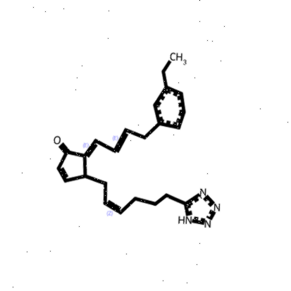 CCc1cccc(C/C=C/C=C2/C(=O)C=CC2C/C=C\CCCc2nnn[nH]2)c1